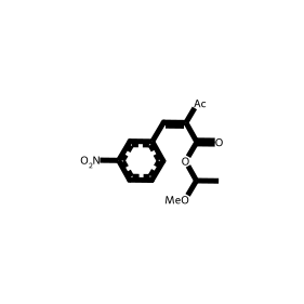 COC(C)OC(=O)C(=Cc1cccc([N+](=O)[O-])c1)C(C)=O